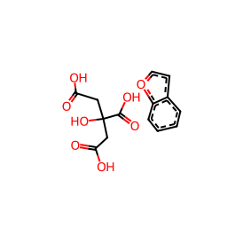 O=C(O)CC(O)(CC(=O)O)C(=O)O.c1ccc2occc2c1